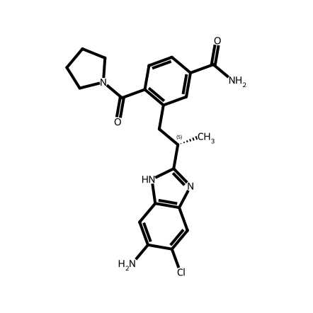 C[C@@H](Cc1cc(C(N)=O)ccc1C(=O)N1CCCC1)c1nc2cc(Cl)c(N)cc2[nH]1